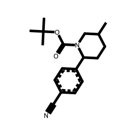 CC1CCC(c2ccc(C#N)cc2)N(C(=O)OC(C)(C)C)C1